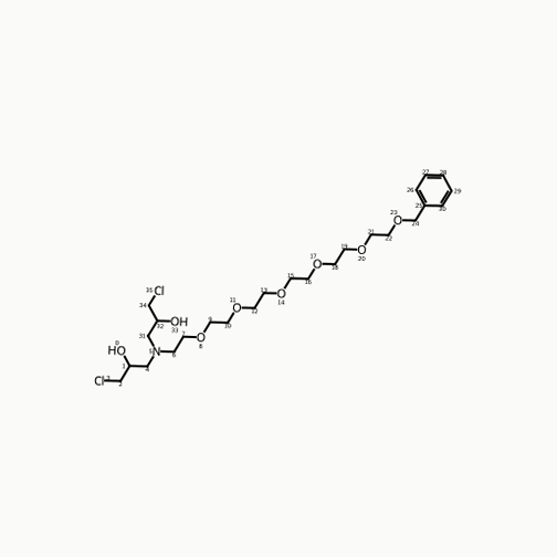 OC(CCl)CN(CCOCCOCCOCCOCCOCCOCc1ccccc1)CC(O)CCl